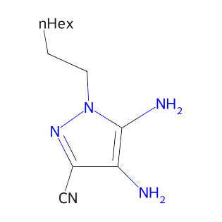 CCCCCCCCn1nc(C#N)c(N)c1N